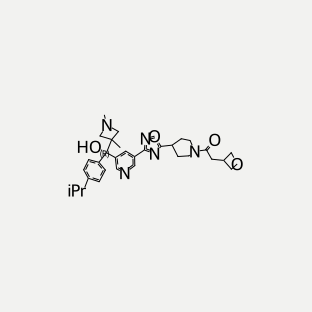 CC(C)c1ccc([C@](O)(c2cncc(-c3noc(C4CCN(C(=O)CC5COC5)CC4)n3)c2)C2(C)CN(C)C2)cc1